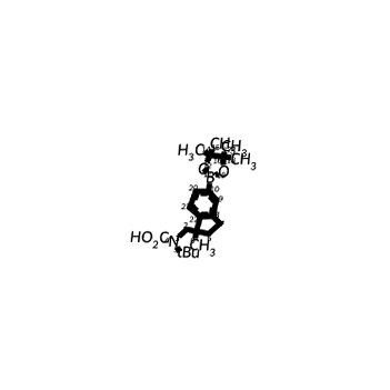 CC1(CN(C(=O)O)C(C)(C)C)CCc2cc(B3OC(C)(C)C(C)(C)O3)ccc21